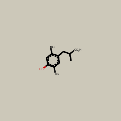 CC(Cc1cc(C(C)(C)C)c(O)cc1C(C)(C)C)C(=O)O